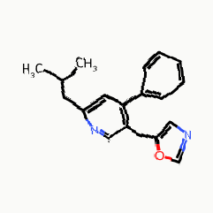 CC(C)Cc1cc(-c2ccccc2)c(-c2cnco2)[c]n1